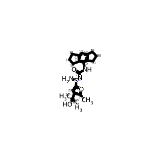 Cc1oc(/S(N)=N/C(=O)Nc2c3c(cc4c2CCC4)CCC3)cc1C(C)(C)O